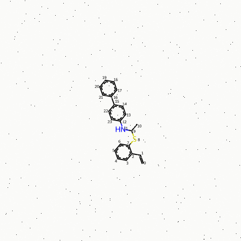 C=Cc1ccccc1SC(C)Nc1ccc(-c2ccccc2)cc1